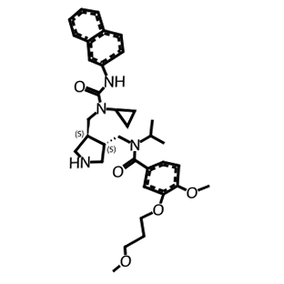 COCCCOc1cc(C(=O)N(C[C@@H]2CNC[C@H]2CN(C(=O)Nc2ccc3ccccc3c2)C2CC2)C(C)C)ccc1OC